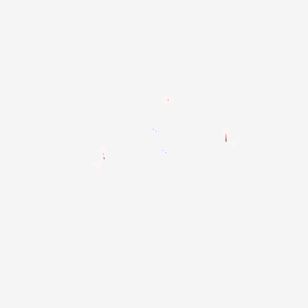 CCCCCCCCC(CCCCCC)COC(=O)CCCCCCCN(CCCCCCCC(=O)OCC(CCCCCC)CCCCCCCC)CCN(CCCC)CCCO